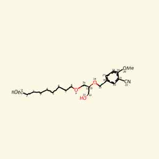 CCCCCCCCCCCCCCCCCCOC[C@H](CO)OCc1ccc(OC)c(C#N)c1